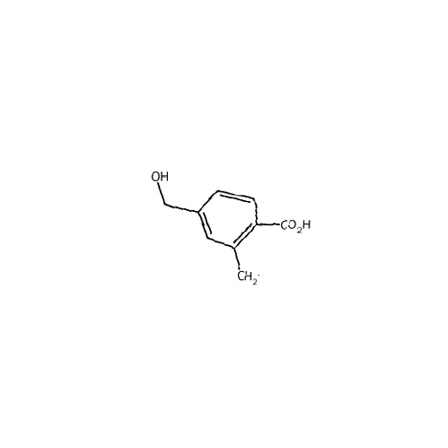 [CH2]c1cc(CO)ccc1C(=O)O